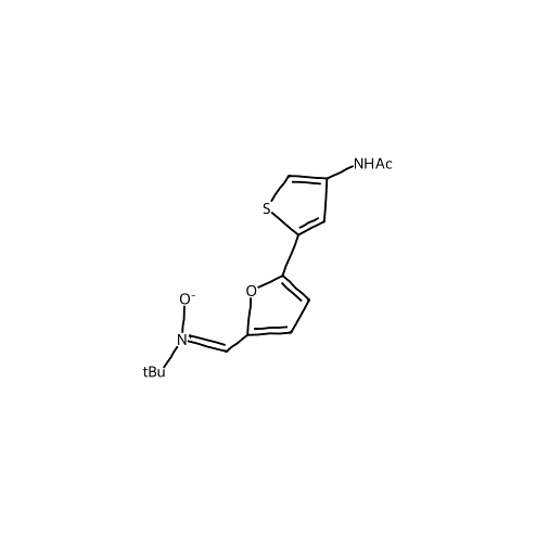 CC(=O)Nc1csc(-c2ccc(C=[N+]([O-])C(C)(C)C)o2)c1